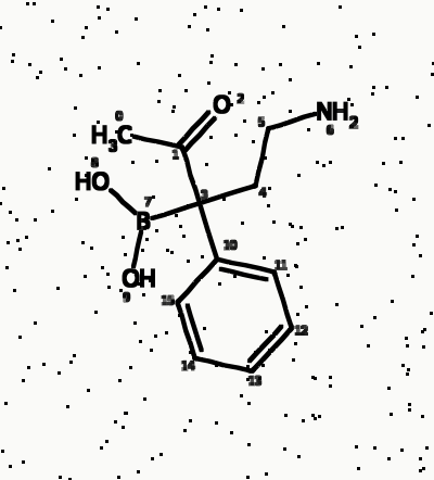 CC(=O)C(CCN)(B(O)O)c1ccccc1